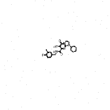 Cc1cc(CNC(=O)c2nc3n(c(=O)c2O)CCN3C2CCCCC2)ccc1F